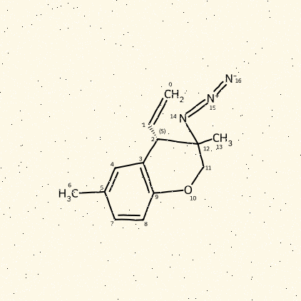 C=C[C@H]1c2cc(C)ccc2OCC1(C)N=[N+]=[N-]